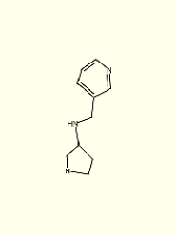 c1cncc(CNC2CC[N]C2)c1